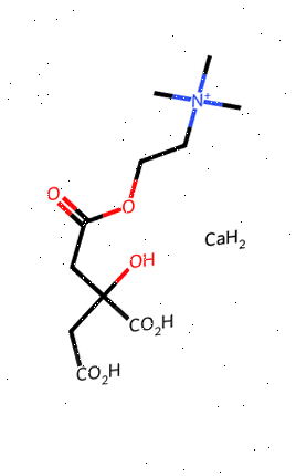 C[N+](C)(C)CCOC(=O)CC(O)(CC(=O)O)C(=O)O.[CaH2]